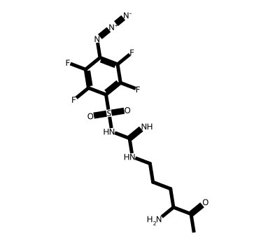 CC(=O)C(N)CCCNC(=N)NS(=O)(=O)c1c(F)c(F)c(N=[N+]=[N-])c(F)c1F